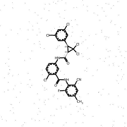 Cc1cc(F)c(NC(=O)c2cc(NC(=O)[C@@H]3[C@@H](c4cc(Cl)cc(Cl)c4)C3(Cl)Cl)ccc2Cl)c(C#N)c1